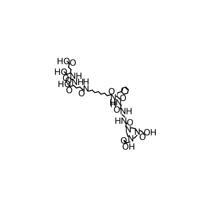 O=C(O)CCC(NC(=O)NC(CCC(=O)NCCCCCCCC(=O)N[C@@H](CC1=CC=CCC1)C(=O)NCC(=O)NCCNC(=O)CN1CCN(CC(=O)O)CCN(CC(=O)O)CC1)C(=O)O)C(=O)O